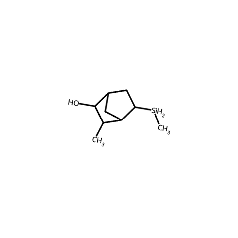 C[SiH2]C1CC2CC1C(C)C2O